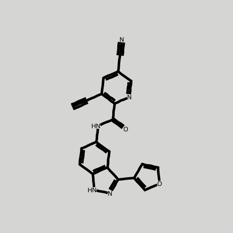 C#Cc1cc(C#N)cnc1C(=O)Nc1ccc2[nH]nc(-c3ccoc3)c2c1